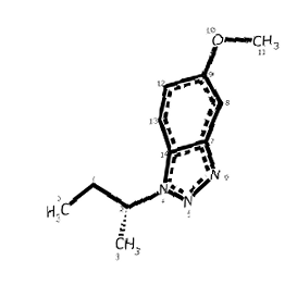 CC[C@@H](C)n1nnc2cc(OC)ccc21